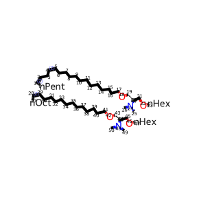 CCCCC/C=C\C/C=C\CCCCCCCCCCCCOC[C@H](COCCCCCC)N(C)C.CCCCCCCC/C=C\CCCCCCCCCCCCOC[C@H](COCCCCCC)N(C)C